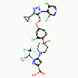 CC(n1nc(C(=O)O)cc1N1CCC(O)(c2ccc(OCc3c(C4CC4)nnn3-c3c(Cl)cncc3Cl)cc2Cl)CC1)C(F)(F)F